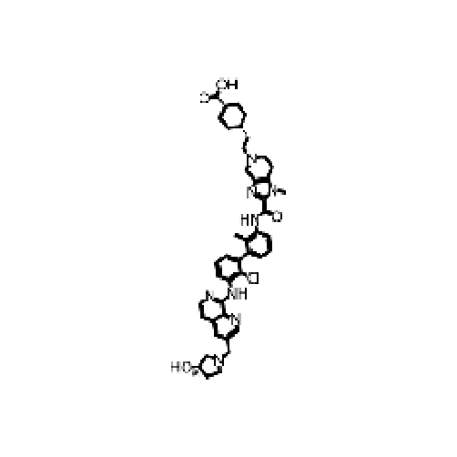 Cc1c(NC(=O)c2nc3c(n2C)CCN(CC[C@H]2CC[C@H](C(=O)O)CC2)C3)cccc1-c1cccc(Nc2nccc3cc(CN4CC[C@@H](O)C4)cnc23)c1Cl